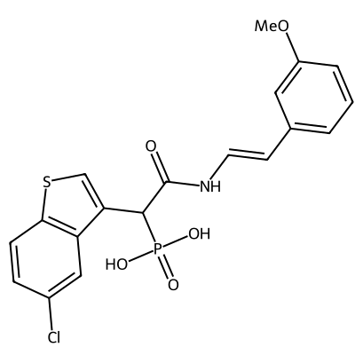 COc1cccc(C=CNC(=O)C(c2csc3ccc(Cl)cc23)P(=O)(O)O)c1